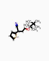 CC(C)(C)[Si](C)(C)OCCC(C#N)c1cccs1